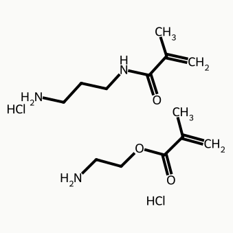 C=C(C)C(=O)NCCCN.C=C(C)C(=O)OCCN.Cl.Cl